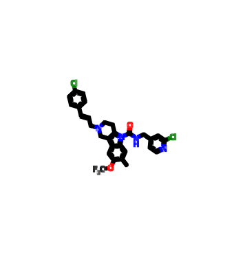 Cc1cc2c(cc1OC(F)(F)F)c1c(n2C(=O)NCc2ccnc(Cl)c2)CCN(C/C=C/c2ccc(Cl)cc2)C1